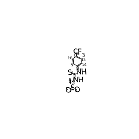 O=[SH](=O)CNC(=S)Nc1ccc(C(F)(F)F)cc1